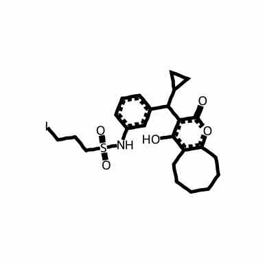 O=c1oc2c(c(O)c1C(c1cccc(NS(=O)(=O)CCCI)c1)C1CC1)CCCCCC2